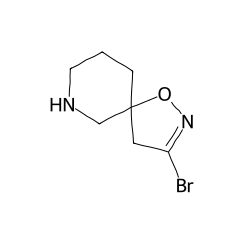 BrC1=NOC2(CCCNC2)C1